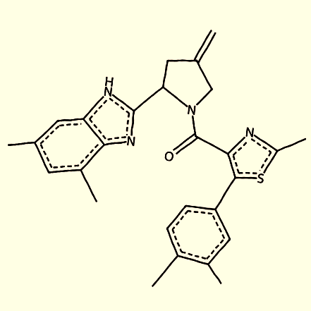 C=C1CC(c2nc3c(C)cc(C)cc3[nH]2)N(C(=O)c2nc(C)sc2-c2ccc(C)c(C)c2)C1